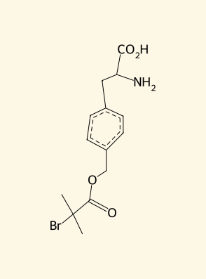 CC(C)(Br)C(=O)OCc1ccc(CC(N)C(=O)O)cc1